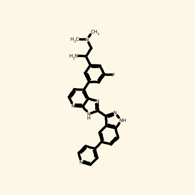 CN(C)CC(N)c1cc(F)cc(-c2ccnc3[nH]c(-c4n[nH]c5ccc(-c6ccncc6)cc45)nc23)c1